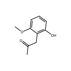 COc1cccc(O)c1CC(C)=O